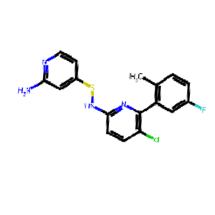 Cc1ccc(F)cc1-c1nc(NSc2ccnc(N)c2)ccc1Cl